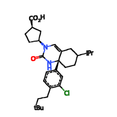 CC(C)C1CC[C@]2(c3ccc(CCC(C)(C)C)c(Cl)c3)NC(=O)N([C@H]3CC[C@@H](C(=O)O)C3)C=C2C1